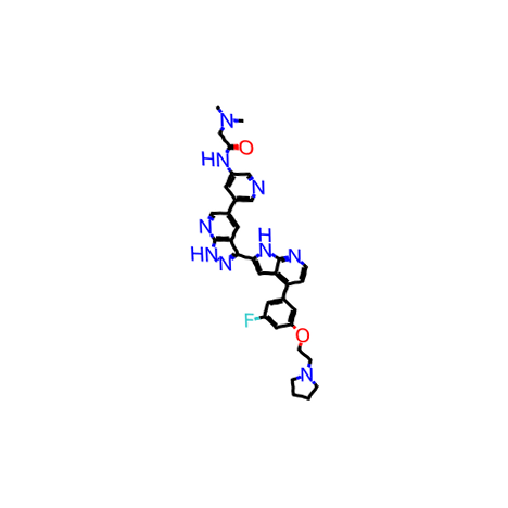 CN(C)CC(=O)Nc1cncc(-c2cnc3[nH]nc(-c4cc5c(-c6cc(F)cc(OCCN7CCCC7)c6)ccnc5[nH]4)c3c2)c1